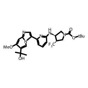 COc1cc2ncc(-c3cccc(N[C@H]4CN(C(=O)OC(C)(C)C)C[C@@H]4C(F)(F)F)n3)n2cc1C(C)(C)O